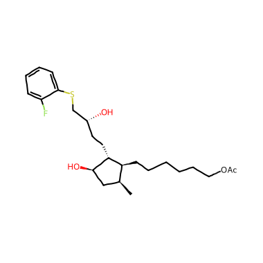 CC(=O)OCCCCCC[C@@H]1[C@@H](CC[C@@H](O)CSc2ccccc2F)[C@H](O)C[C@@H]1C